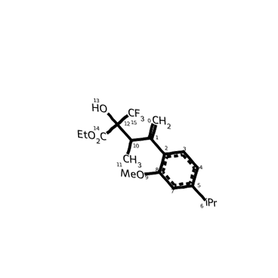 C=C(c1ccc(C(C)C)cc1OC)C(C)C(O)(C(=O)OCC)C(F)(F)F